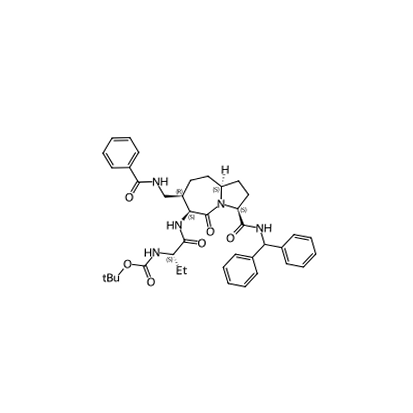 CC[C@H](NC(=O)OC(C)(C)C)C(=O)N[C@@H]1C(=O)N2[C@@H](CC[C@@H]1CNC(=O)c1ccccc1)CC[C@H]2C(=O)NC(c1ccccc1)c1ccccc1